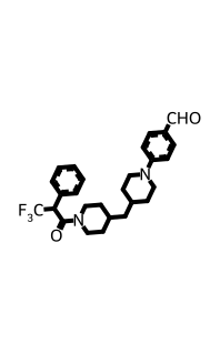 O=Cc1ccc(N2CCC(CC3CCN(C(=O)C(c4ccccc4)C(F)(F)F)CC3)CC2)cc1